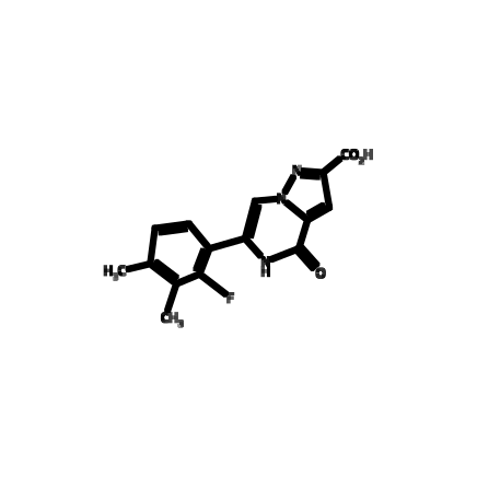 Cc1ccc(-c2cn3nc(C(=O)O)cc3c(=O)[nH]2)c(F)c1C